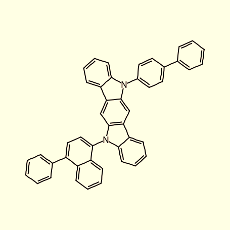 c1ccc(-c2ccc(-n3c4ccccc4c4cc5c(cc43)c3ccccc3n5-c3ccc(-c4ccccc4)c4ccccc34)cc2)cc1